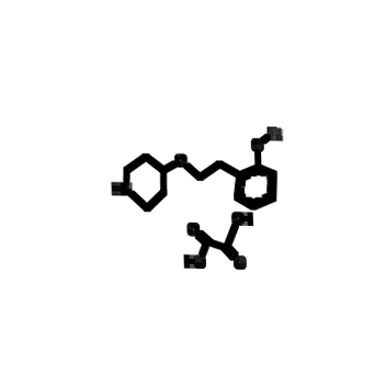 CCOc1ccccc1CCOC1CCNCC1.O=C(O)C(=O)O